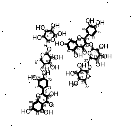 C[C@@H]1O[C@@H](OC[C@H]2O[C@@H](O)[C@H](O)[C@@H](O)[C@@H]2O)[C@H](O)[C@H](O)[C@H]1O.C[C@@H]1O[C@@H](OC[C@H]2O[C@@H](Oc3c(-c4ccc(O)c(O)c4)oc4cc(O)cc(O)c4c3=O)[C@H](O)[C@@H](O)[C@@H]2O)[C@H](O)[C@H](O)[C@H]1O.O=c1c(O)c(-c2ccc(O)c(O)c2)oc2cc(O)cc(O)c12